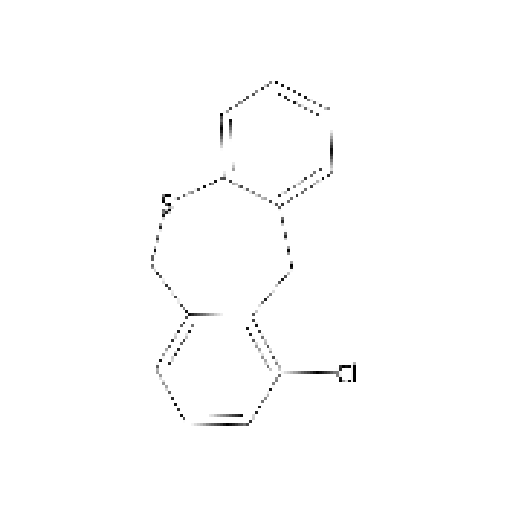 Clc1cccc2c1Cc1ccccc1SC2